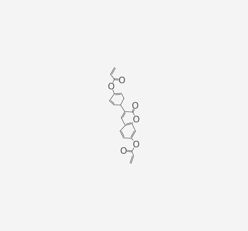 C=CC(=O)OC1=CCC(c2cc3ccc(OC(=O)C=C)cc3oc2=O)C=C1